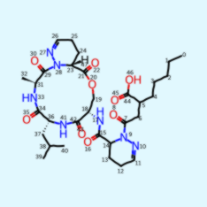 CCCCCC(CC(=O)N1N=CCCC1C(=O)N[C@H]1COC(=O)[C@H]2CCC=NN2C(=O)[C@H](C)NC(=O)[C@@H](CC(C)C)NC1=O)C(=O)O